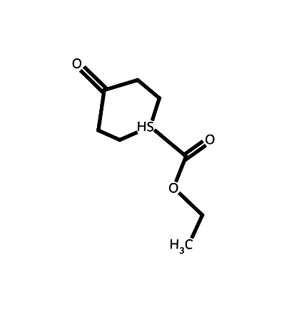 CCOC(=O)[SH]1CCC(=O)CC1